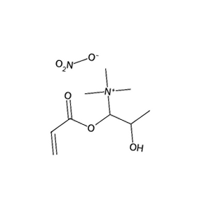 C=CC(=O)OC(C(C)O)[N+](C)(C)C.O=[N+]([O-])[O-]